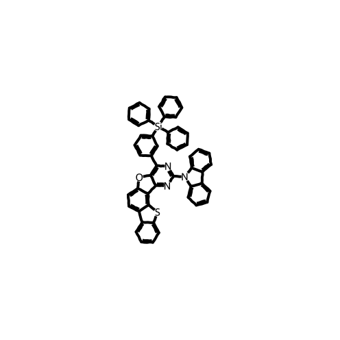 c1ccc([Si](c2ccccc2)(c2ccccc2)c2cccc(-c3nc(-n4c5ccccc5c5ccccc54)nc4c3oc3ccc5c6ccccc6sc5c34)c2)cc1